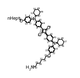 CCCCCCCOc1ccc(N(c2ccc(C3=C([O-])C(=C4C=CC(=[N+](c5ccc(OCCCCCCN)cc5)C5CCCCC5)C=C4)C3=O)cc2)C2CCCCC2)cc1